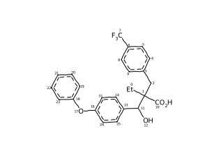 CCC(Cc1ccc(C(F)(F)F)cc1)(C(=O)O)C(O)c1ccc(Oc2ccccc2)cc1